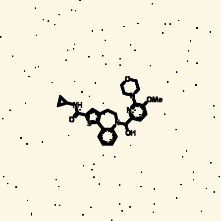 COc1ccc(C(O)N2CCc3cc(C(=O)NC4CC4)sc3-c3ccccc32)nc1N1CCOCC1